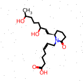 CC(O)CCCC(O)/C=C/[C@H]1CCCC(=O)N1C/C=C\CCCC(=O)O